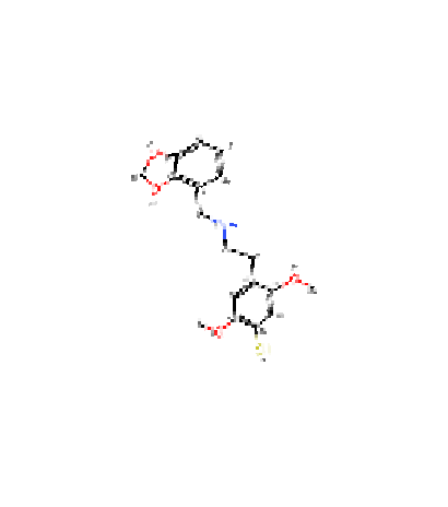 COc1cc(CCNCc2cccc3c2OCO3)c(OC)cc1S